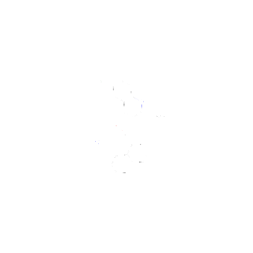 COc1nc2ccc(Br)cc2cc1C[C@@](O)(CCN(C)C)c1cccc2ccccc12